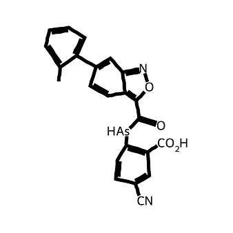 Cc1ccccc1-c1ccc2c(C(=O)[AsH]c3ccc(C#N)cc3C(=O)O)onc2c1